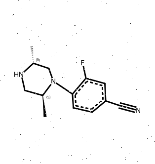 C[C@@H]1CN(c2ccc(C#N)cc2F)[C@@H](C)CN1